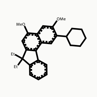 CCC1(CC)c2ccccc2-c2c1cc(OC)c1cc(OC)c(C3CCCCC3)cc21